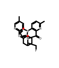 Cc1ccc(OC2CC3CCC2N(C(=O)c2nc(C)ccc2-n2nccn2)C3CF)nc1